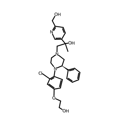 CC(O)(CN1CCN(c2ccc(OCCO)cc2Cl)[C@H](c2ccccc2)C1)c1ccc(CO)nc1